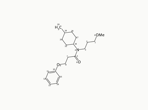 COCCCN(C(=O)CCOc1ccccc1)C1CCC(C)CC1